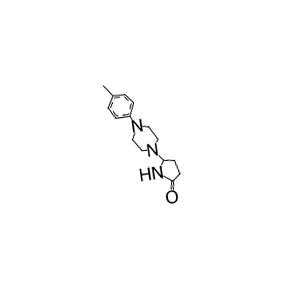 Cc1ccc(N2CCN(C3CCC(=O)N3)CC2)cc1